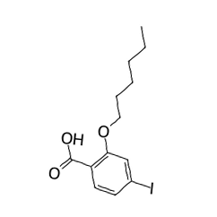 CCCCCCOc1cc(I)ccc1C(=O)O